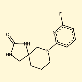 O=C1NCC2(CCCN(c3cccc(F)n3)C2)N1